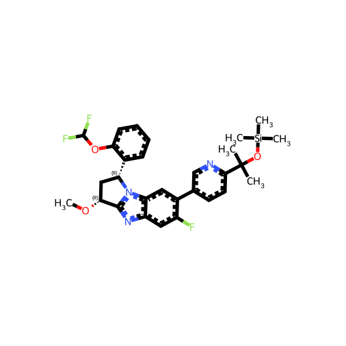 CO[C@@H]1C[C@H](c2ccccc2OC(F)F)n2c1nc1cc(F)c(-c3ccc(C(C)(C)O[Si](C)(C)C)nc3)cc12